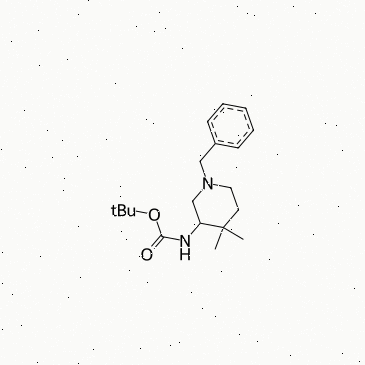 CC(C)(C)OC(=O)NC1CN(Cc2ccccc2)CCC1(C)C